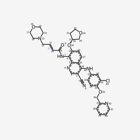 N#Cc1cnc2c(NC(=O)/C=C/CN3CCOCC3)c(O[C@H]3CCOC3)ccc2c1Nc1ccc(OCc2ccccn2)c(Cl)c1